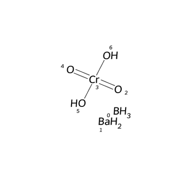 B.[BaH2].[O]=[Cr](=[O])([OH])[OH]